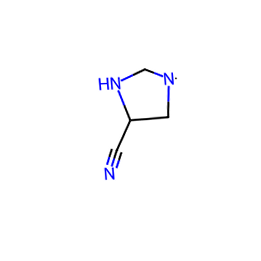 N#CC1C[N]CN1